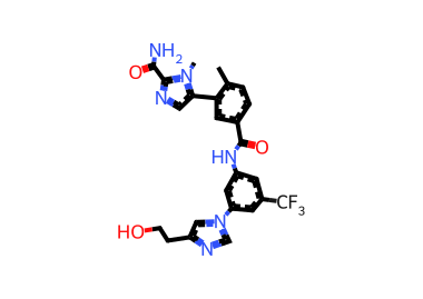 Cc1ccc(C(=O)Nc2cc(-n3cnc(CCO)c3)cc(C(F)(F)F)c2)cc1-c1cnc(C(N)=O)n1C